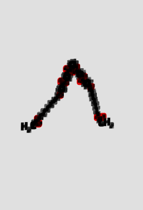 C=CC(=O)OCCCCCCCCCCCCOc1ccc(C(=O)Oc2ccc(C(=O)O[C@@H]3CCCC[C@H]3OC(=O)c3ccc(OC(=O)c4ccc(OCCCCCCCCCCCCOC(=O)C=C)cc4)cc3)cc2)cc1